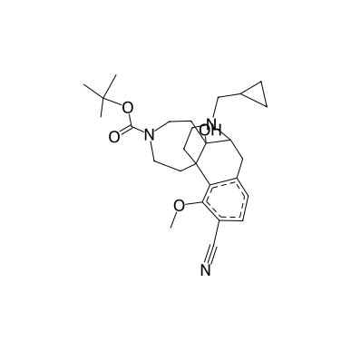 COc1c(C#N)ccc2c1C13CCN(C(=O)OC(C)(C)C)CCC1(O)C(C2)N(CC1CC1)CC3